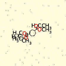 CC(C)(C)OC(=O)C1CC=C(B2OC(C)(C)C(C)(C)O2)CCC1